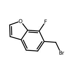 Fc1c(CBr)ccc2ccoc12